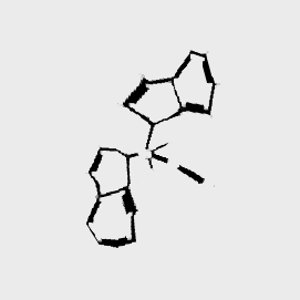 C=[C]=[Zr]([Cl])([Cl])([CH]1C=Cc2ccccc21)[CH]1C=Cc2ccccc21